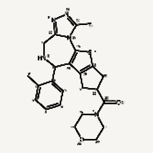 Cc1ccccc1C1NCc2nnc(C)n2-c2sc3c(c21)CC(C(=O)N1CCOCC1)C3